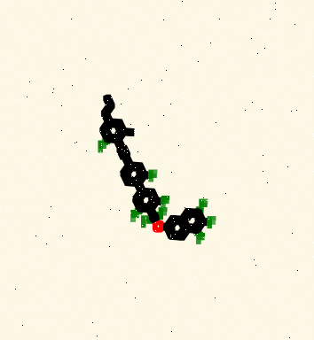 CCCc1cc(C)c(C#Cc2ccc(-c3cc(F)c(C(F)(F)Oc4ccc5c(F)c(F)c(F)cc5c4)c(F)c3)c(F)c2)c(F)c1